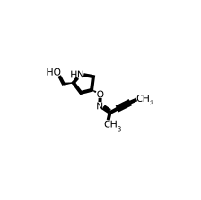 CC#C/C(C)=N\O[C@H]1CN[C@H](CO)C1